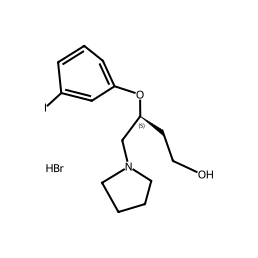 Br.OCC[C@@H](CN1CCCC1)Oc1cccc(I)c1